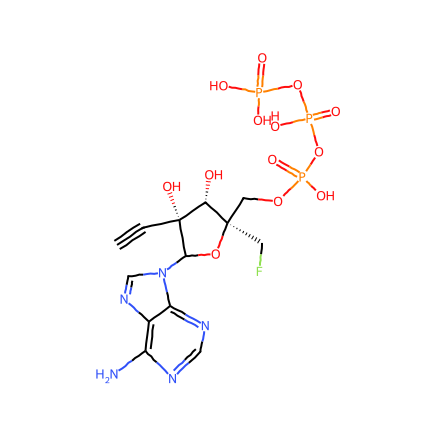 C#C[C@]1(O)C(n2cnc3c(N)ncnc32)O[C@](CF)(COP(=O)(O)OP(=O)(O)OP(=O)(O)O)[C@H]1O